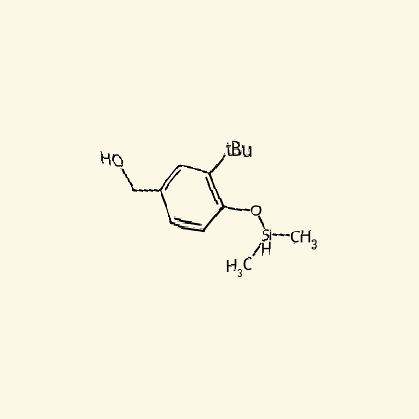 C[SiH](C)Oc1ccc(CO)cc1C(C)(C)C